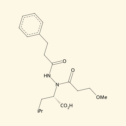 COCCC(=O)N(NC(=O)CCc1ccccc1)[C@@H](CC(C)C)C(=O)O